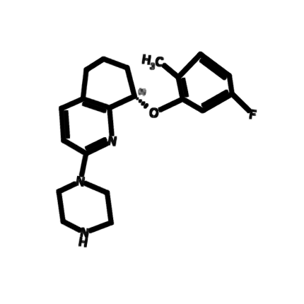 Cc1ccc(F)cc1O[C@H]1CCCc2ccc(N3CCNCC3)nc21